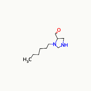 CCCCCCN1CNCC1C=O